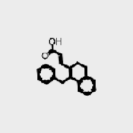 O=C(O)C=CC1=C(Cc2ccccc2)c2ccccc2CC1